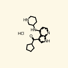 Cl.O=C(c1c[nH]c2nccc(NC3CCCNC3)c12)C1CCCC1